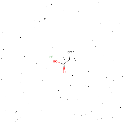 CNCC(=O)O.F